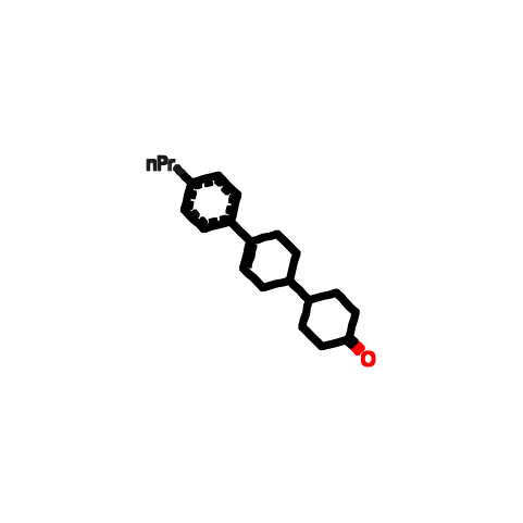 CCCc1ccc(C2=CCC(C3CCC(=O)CC3)CC2)cc1